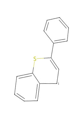 [C]1C=C(c2ccccc2)Sc2ccccc21